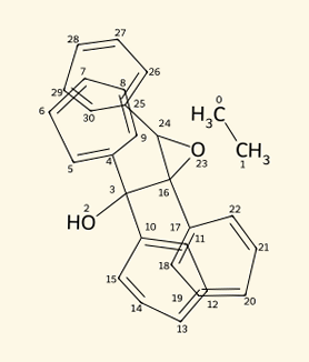 CC.OC(c1ccccc1)(c1ccccc1)C1(c2ccccc2)OC1c1ccccc1